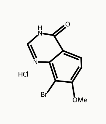 COc1ccc2c(=O)[nH]cnc2c1Br.Cl